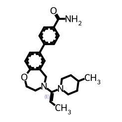 C/C=C(\N1CCC(C)CC1)N1CCOc2ccc(-c3ccc(C(N)=O)cc3)cc2C1